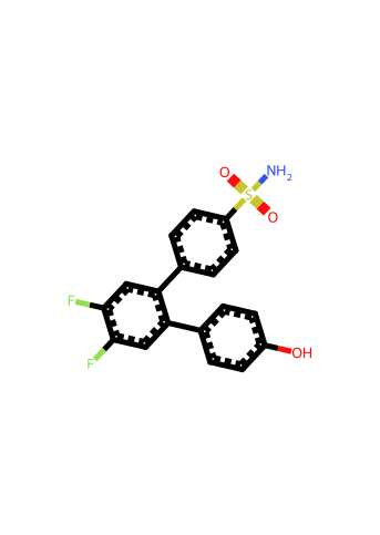 NS(=O)(=O)c1ccc(-c2cc(F)c(F)cc2-c2ccc(O)cc2)cc1